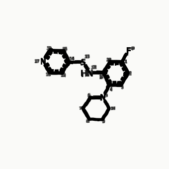 Fc1ccc(N2CCCCC2)c(NSc2ccncc2)c1